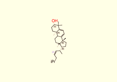 CC(C)C/C=C\C(C)[C@H]1CC[C@@]2(C)C3=CC=C4C(C)(C)[C@@H](O)CC[C@]4(C)C3CC[C@]12C